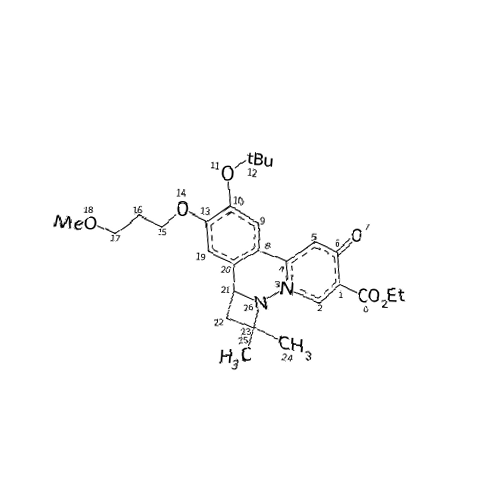 CCOC(=O)c1cn2c(cc1=O)-c1cc(OC(C)(C)C)c(OCCCOC)cc1C1CC(C)(C)N12